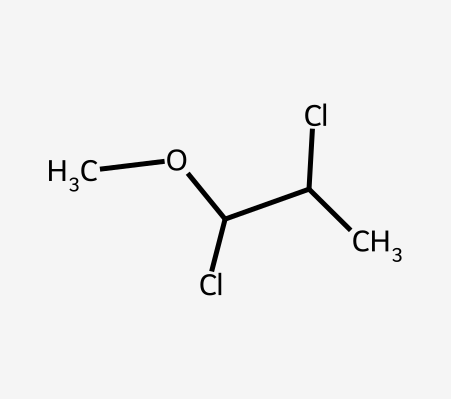 COC(Cl)C(C)Cl